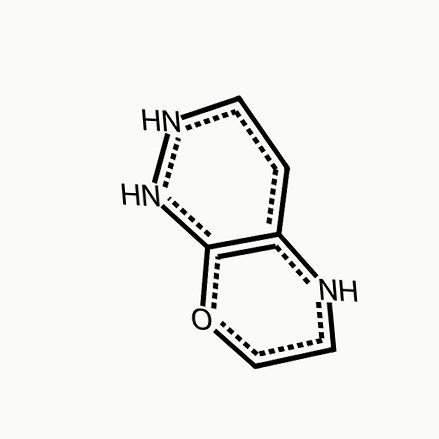 c1cc2[nH]ccoc=2[nH][nH]1